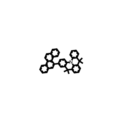 CC1(C)c2ccccc2N2c3ccc(-c4cc5ccccc5c5ccc6ccccc6c45)cc3C(C)(C)c3cccc1c32